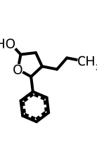 CCCC1CC(O)OC1c1ccccc1